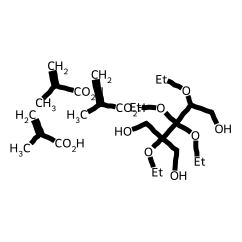 C=C(C)C(=O)O.C=C(C)C(=O)O.C=C(C)C(=O)O.CCOC(CO)C(OCC)(OCC)C(CO)(CO)OCC